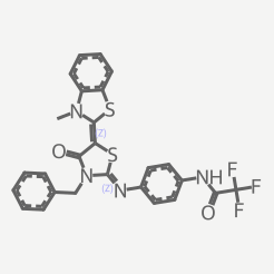 CN1/C(=C2/S/C(=N\c3ccc(NC(=O)C(F)(F)F)cc3)N(Cc3ccccc3)C2=O)Sc2ccccc21